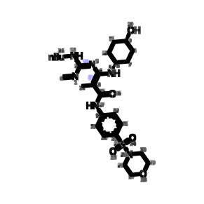 C=N/C(=N\C(N[C@H]1CC[C@H](O)CC1)=C(/C)C(=O)Nc1ccc(S(=O)(=O)N2CCOCC2)cc1)NCCCC